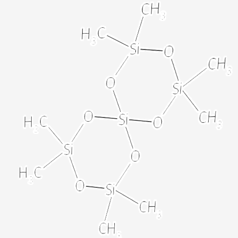 C[Si]1(C)O[Si](C)(C)O[Si]2(O1)O[Si](C)(C)O[Si](C)(C)O2